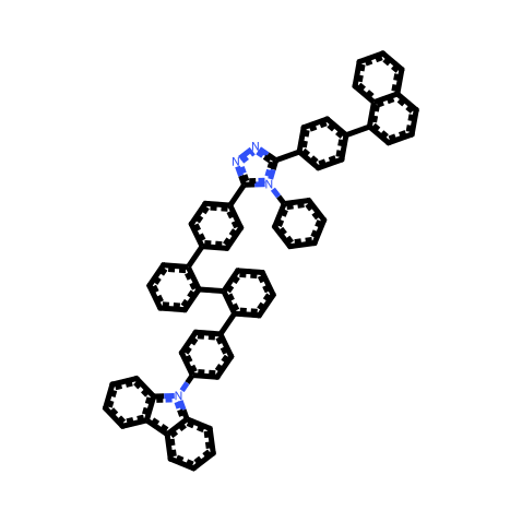 c1ccc(-n2c(-c3ccc(-c4ccccc4-c4ccccc4-c4ccc(-n5c6ccccc6c6ccccc65)cc4)cc3)nnc2-c2ccc(-c3cccc4ccccc34)cc2)cc1